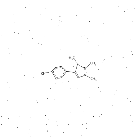 CC1C(c2ccc(Cl)cc2)=CN(C)N1C